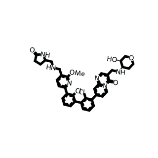 COc1nc(-c2cccc(-c3cccc(-c4ccn5c(=O)c(CN[C@H]6CCOC[C@H]6O)cnc5c4)c3Cl)c2Cl)ccc1CNCC1CCC(=O)N1